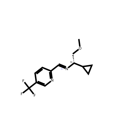 COC[C@@H](/N=C/c1ccc(C(F)(F)F)cn1)C1CC1